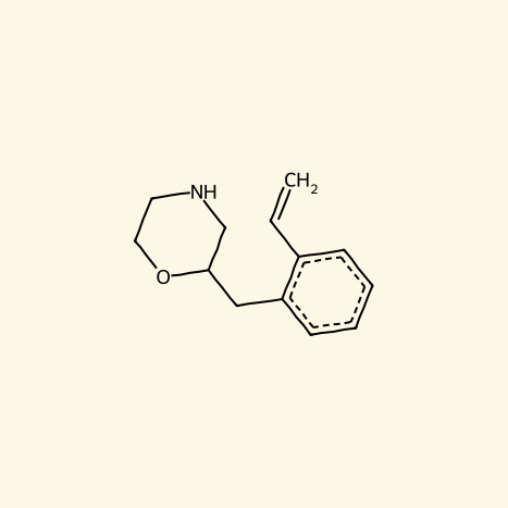 C=Cc1ccccc1CC1CNCCO1